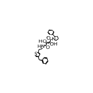 O=C(NCCc1cc(Cc2ccccc2)cs1)[C@H](O)[C@@H](O)C(=O)N1CCCC1c1ccccc1